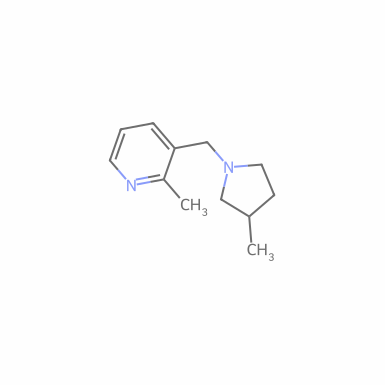 Cc1ncccc1CN1CCC(C)C1